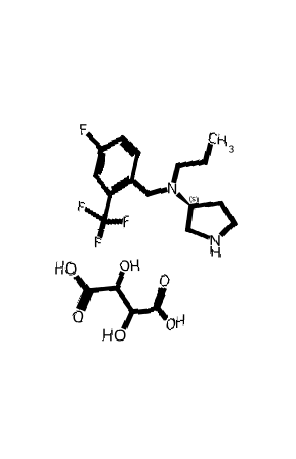 CCCN(Cc1ccc(F)cc1C(F)(F)F)[C@H]1CCNC1.O=C(O)C(O)C(O)C(=O)O